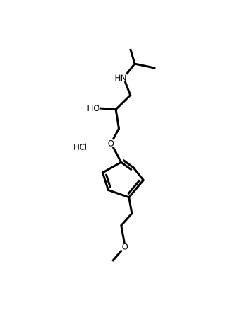 COCCc1ccc(OCC(O)CNC(C)C)cc1.Cl